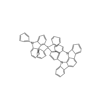 c1ccc(-n2c3ccccc3c3c(S(c4ccccc4)(c4ccccc4)c4ccc(-n5c6ccccc6c6ccc7c8ccccc8n(-c8ccccc8)c7c65)cc4)cccc32)cc1